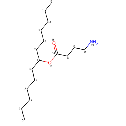 CCCCCCC(CCCCCC)OC(=O)CCCN